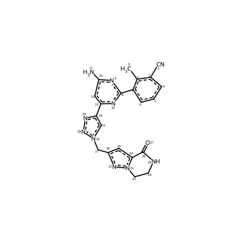 Cc1c(C#N)cccc1-c1nc(N)cc(-c2cn(Cc3cc4n(n3)CCNC4=O)nn2)n1